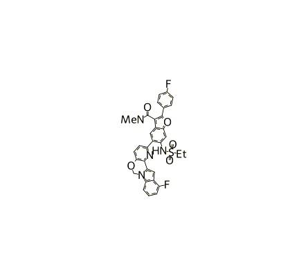 CCS(=O)(=O)Nc1cc2oc(-c3ccc(F)cc3)c(C(=O)NC)c2cc1-c1ccc2c(n1)-c1cc3c(F)cccc3n1CO2